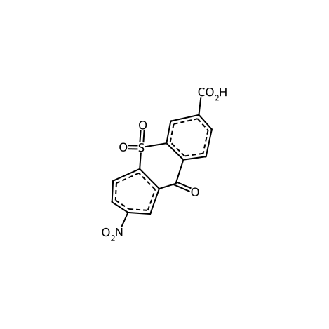 O=C(O)c1ccc2c(c1)S(=O)(=O)c1ccc([N+](=O)[O-])cc1C2=O